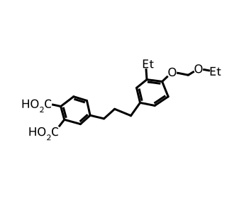 CCOCOc1ccc(CCCc2ccc(C(=O)O)c(C(=O)O)c2)cc1CC